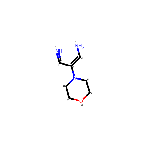 N=C/C(=C\N)N1CCOCC1